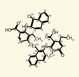 CCc1c(Cl)ncc(C(=O)O)c1Nc1ccc2ccccc2c1Cl.CCc1cc(=O)n(C)c(Nc2ccc3ccccc3c2Cl)c1C(=O)O